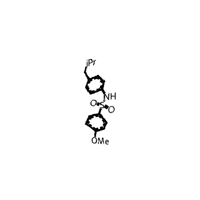 COc1ccc(S(=O)(=O)Nc2ccc(CC(C)C)cc2)cc1